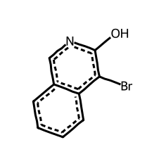 Oc1ncc2ccccc2c1Br